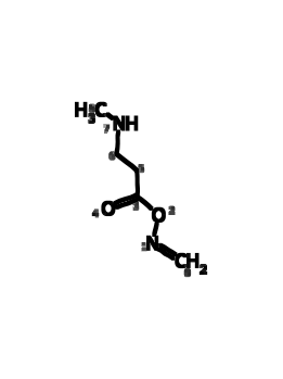 C=NOC(=O)CCNC